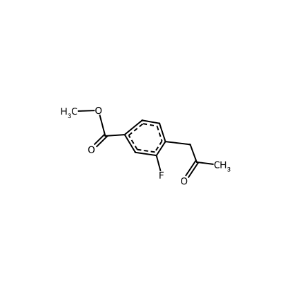 COC(=O)c1ccc(CC(C)=O)c(F)c1